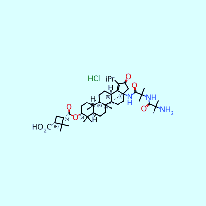 CC(C)C1=C2[C@H]3CC[C@@H]4[C@@]5(C)CC[C@H](OC(=O)[C@H]6C[C@@H](C(=O)O)C6(C)C)C(C)(C)[C@@H]5CC[C@@]4(C)[C@]3(C)CC[C@@]2(NC(=O)C(C)(C)NC(=O)C(C)(C)N)CC1=O.Cl